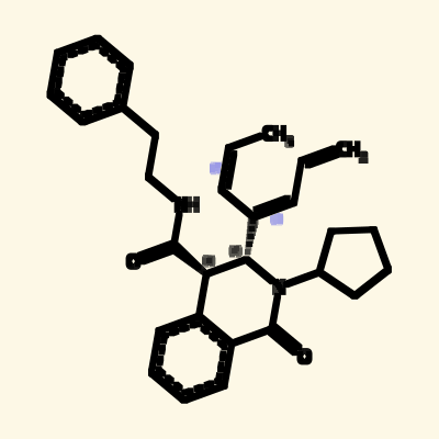 C=C/C=C(\C=C/C)[C@H]1[C@H](C(=O)NCCc2ccccc2)c2ccccc2C(=O)N1C1CCCC1